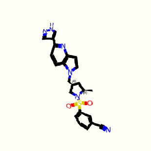 C[C@@H]1C[C@H](Cn2ccc3nc(-c4cn[nH]c4)ccc32)CN1S(=O)(=O)c1cccc(C#N)c1